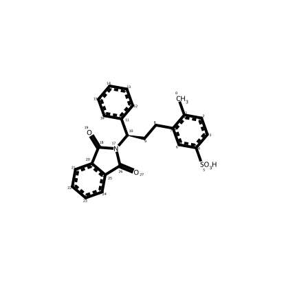 Cc1ccc(S(=O)(=O)O)cc1CC[C@H](c1ccccc1)N1C(=O)c2ccccc2C1=O